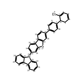 CCC1=CC=CCC1c1ccc(-c2ccc3c(c2)sc2cc(-n4c5ccccc5c5ccccc54)ccc23)cc1